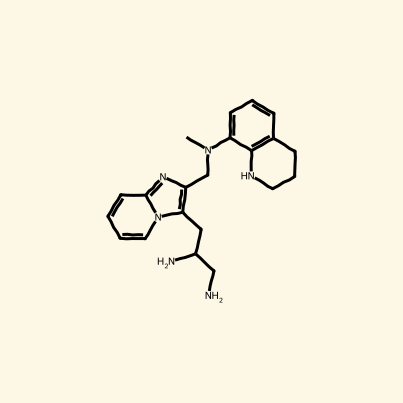 CN(Cc1nc2ccccn2c1CC(N)CN)c1cccc2c1NCCC2